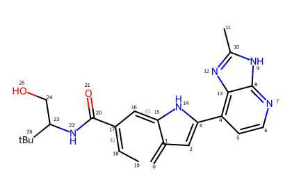 C=c1cc(-c2ccnc3[nH]c(C)nc23)[nH]/c1=C/C(=C\C)C(=O)NC(CO)C(C)(C)C